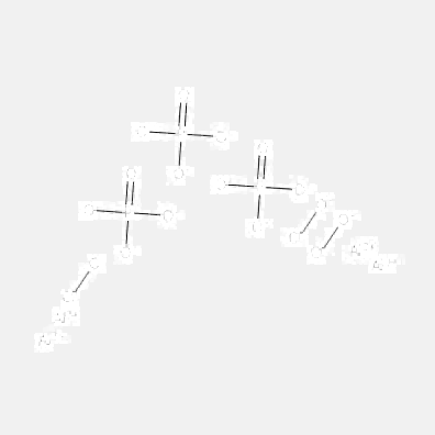 O=P([O-])([O-])[O-].O=P([O-])([O-])[O-].O=P([O-])([O-])[O-].[Al+3].[Al+3].[Al+3].[Al+3].[O-]Cl.[O-]Cl.[O-]Cl